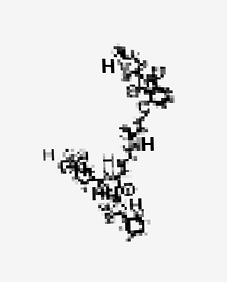 CS(=O)(=O)N1CCC(C(=O)N[C@@H](CCCCNC(=O)CCCOc2cccc3c2C(=O)N(C2CCC(=O)NC2)C3=O)C(=O)NC2NC(c3ccccc3)CS2)C1